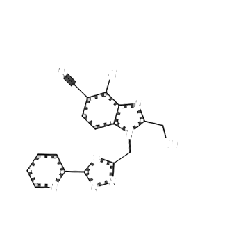 CCc1nc2c(Cl)c(C#N)ccc2n1Cc1nnc(-c2ccccn2)o1